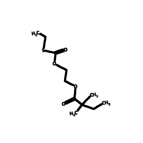 CCSC(=O)OCCOC(=O)C(C)(C)CC